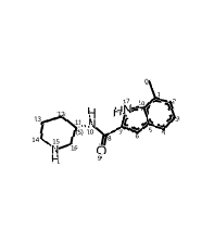 Cc1cccc2cc(C(=O)N[C@H]3CCCNC3)[nH]c12